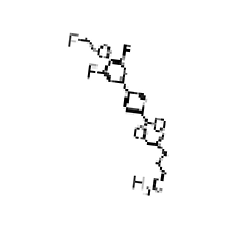 CCCCC1COC(c2ccc(-c3cc(F)c(OCCF)c(F)c3)cc2)OC1